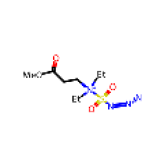 CC[N+](CC)(CCC(=O)OC)S(=O)(=O)N=[N+]=[N-]